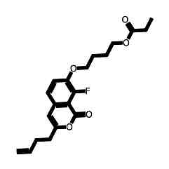 C=CCCc1cc2ccc(OCCCCOC(=O)CC)c(F)c2c(=O)o1